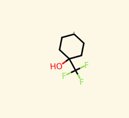 OC1(C(F)(F)F)CC[CH]CC1